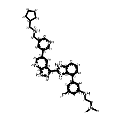 CN(C)CCNc1cc(F)cc(-c2cccc3[nH]c(-c4n[nH]c5ncc(-c6cncc(CNCC7CCCC7)c6)cc45)nc23)c1